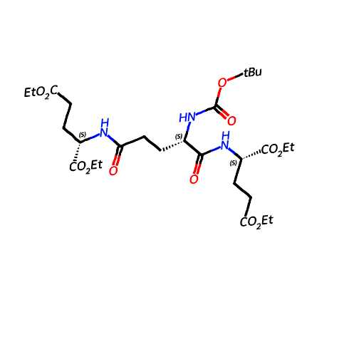 CCOC(=O)CC[C@H](NC(=O)CC[C@H](NC(=O)OC(C)(C)C)C(=O)N[C@@H](CCC(=O)OCC)C(=O)OCC)C(=O)OCC